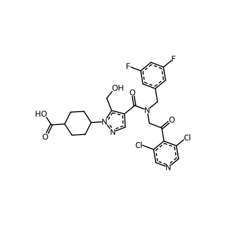 O=C(CN(Cc1cc(F)cc(F)c1)C(=O)c1cnn(C2CCC(C(=O)O)CC2)c1CO)c1c(Cl)cncc1Cl